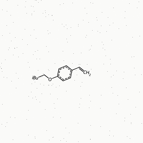 C=Cc1ccc(OCC(C)CC)cc1